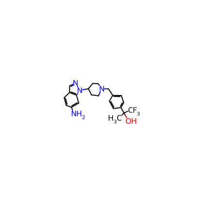 CC(O)(c1ccc(CN2CCC(n3ncc4ccc(N)cc43)CC2)cc1)C(F)(F)F